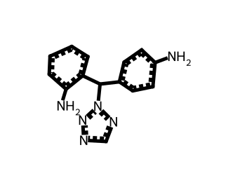 Nc1ccc(C(c2ccccc2N)n2ncnn2)cc1